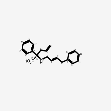 C=CC[C@@](NCC=CCc1ccccc1)(C(=O)O)c1ccccc1